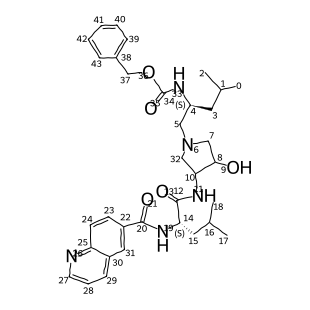 CC(C)C[C@@H](CN1CC(O)C(NC(=O)[C@H](CC(C)C)NC(=O)c2ccc3ncccc3c2)C1)NC(=O)OCc1ccccc1